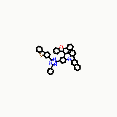 c1ccc(-c2nc(-c3ccc(-n4c5ccccc5c5cc6ccccc6cc54)c(-c4cc5ccccc5c5oc6ccccc6c45)c3)nc(-c3ccc4c(c3)sc3ccccc34)n2)cc1